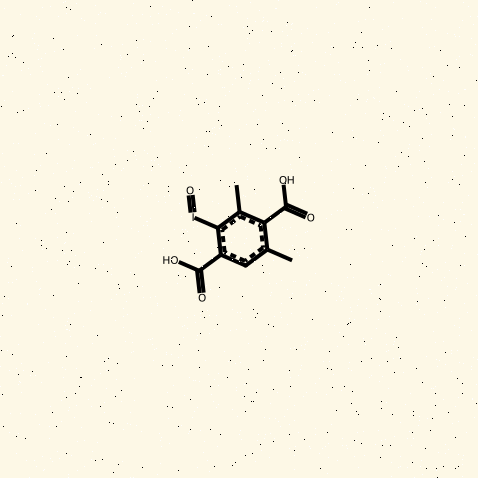 Cc1cc(C(=O)O)c(I=O)c(C)c1C(=O)O